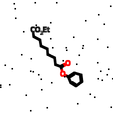 CCOC(=O)CCCCCCCC(=O)Oc1ccccc1